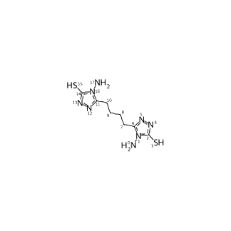 Nn1c(S)nnc1CCCCc1nnc(S)n1N